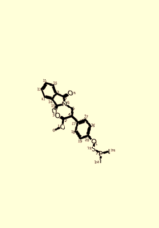 COC(=O)C(CN1C(=O)c2ccccc2C1=O)c1ccc(OSP(I)I)cc1